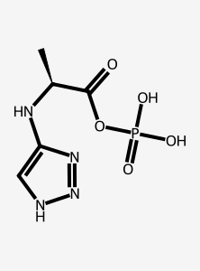 C[C@H](Nc1c[nH]nn1)C(=O)OP(=O)(O)O